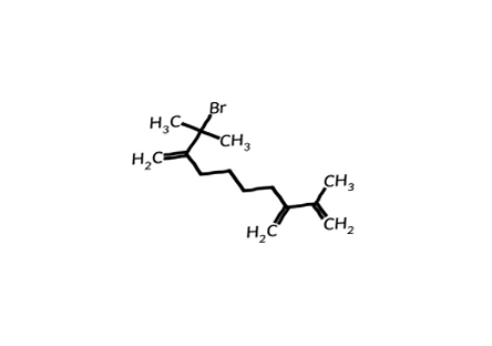 C=C(C)C(=C)CCCCC(=C)C(C)(C)Br